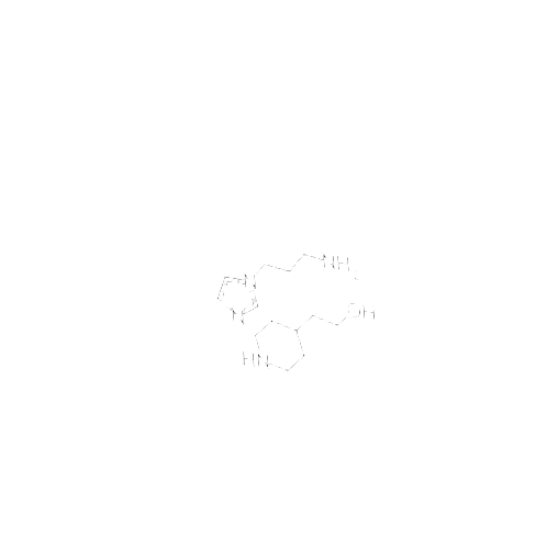 NCCCn1ccnc1.OCCC1CCNCC1